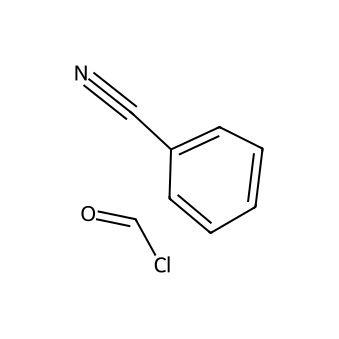 N#Cc1ccccc1.O=CCl